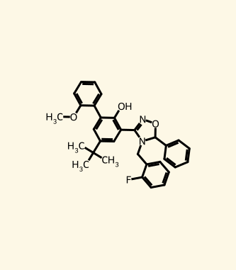 COc1ccccc1-c1cc(C(C)(C)C)cc(C2=NOC(c3ccccc3)N2Cc2ccccc2F)c1O